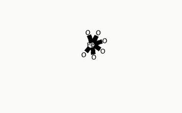 [O]=[Fe](=[O])(=[O])(=[O])(=[O])=[O]